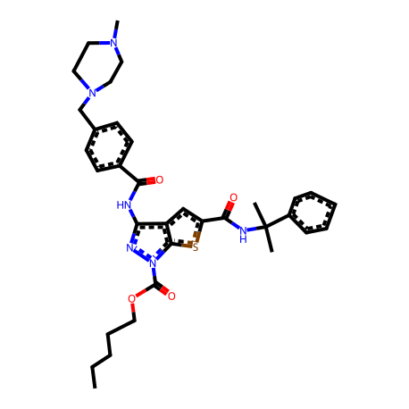 CCCCCOC(=O)n1nc(NC(=O)c2ccc(CN3CCN(C)CC3)cc2)c2cc(C(=O)NC(C)(C)c3ccccc3)sc21